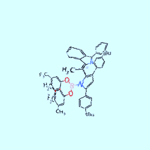 C/C(=C1/N=C(c2ccccc2)c2ccccc21)c1c(-c2ccc(C(C)(C)C)cc2)cc(-c2ccc(C(C)(C)C)cc2)n1B(Oc1cc(C)cc(C)c1)Oc1cc(C(F)(F)F)cc(C(F)(F)F)c1